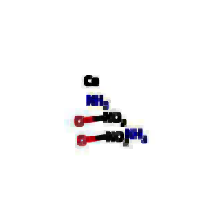 N.N.O=[N+]([O-])[O-].O=[N+]([O-])[O-].[Ce]